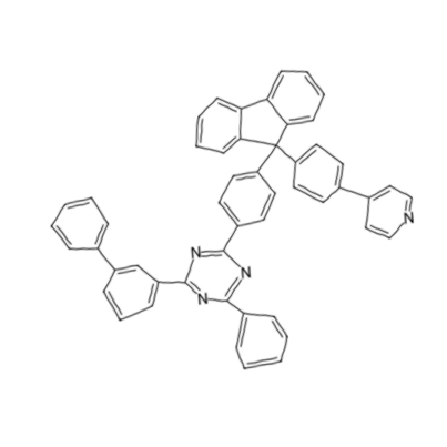 c1ccc(-c2cccc(-c3nc(-c4ccccc4)nc(-c4ccc(C5(c6ccc(-c7ccncc7)cc6)c6ccccc6-c6ccccc65)cc4)n3)c2)cc1